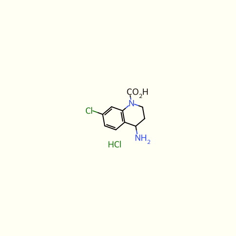 Cl.NC1CCN(C(=O)O)c2cc(Cl)ccc21